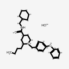 CCCCC1CC(C(=O)NCC2CCCCC2)CCN1Cc1ccc(Oc2ccccc2)cc1.Cl